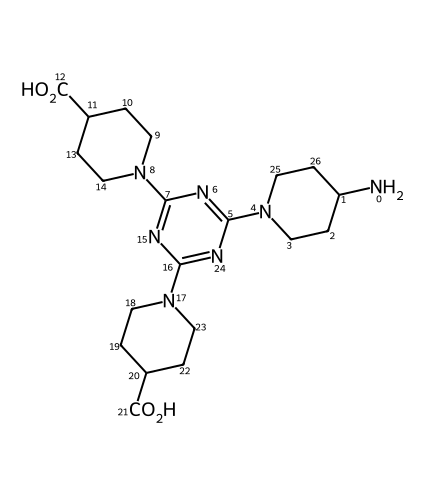 NC1CCN(c2nc(N3CCC(C(=O)O)CC3)nc(N3CCC(C(=O)O)CC3)n2)CC1